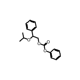 CC(C)OC(COC(=O)Oc1ccccc1)c1ccccc1